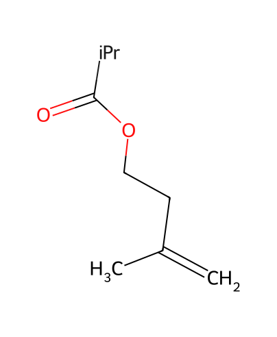 C=C(C)CCOC(=O)C(C)C